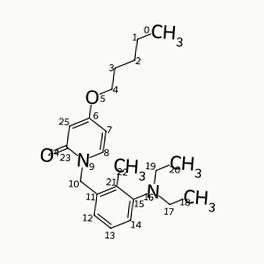 CCCCCOc1ccn(Cc2cccc(N(CC)CC)c2C)c(=O)c1